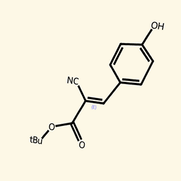 CC(C)(C)OC(=O)/C(C#N)=C/c1ccc(O)cc1